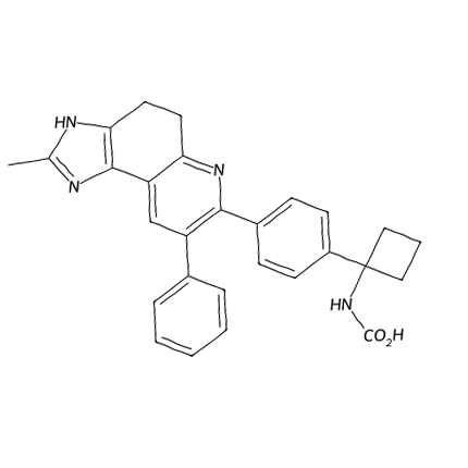 Cc1nc2c([nH]1)CCc1nc(-c3ccc(C4(NC(=O)O)CCC4)cc3)c(-c3ccccc3)cc1-2